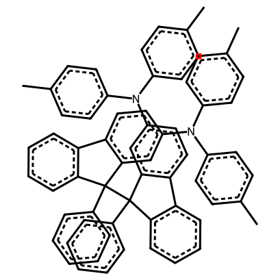 Cc1ccc(N(c2ccc(C)cc2)c2ccc3c(c2)C(c2ccccc2)(C2(c4ccccc4)c4ccccc4-c4ccc(N(c5ccc(C)cc5)c5ccc(C)cc5)cc42)c2ccccc2-3)cc1